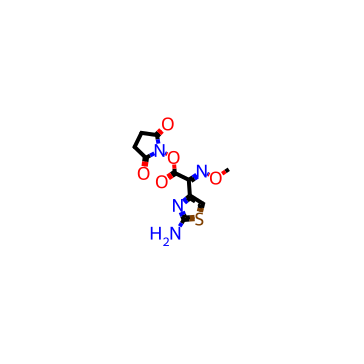 CON=C(C(=O)ON1C(=O)CCC1=O)c1csc(N)n1